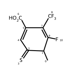 CC1C(=S)C=C(C(=O)O)C(C(F)(F)F)=C1F